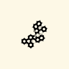 Cc1c(-n2c3ccc4c5ccccc5c5ccccc5c4c3c3ccc4ccccc4c32)nc2ccc3ccccc3c2c1-c1ccccc1